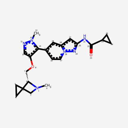 CN1CC2(CC2)[C@@H]1COc1cnn(C)c1-c1ccn2nc(NC(=O)C3CC3)cc2c1